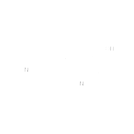 N#CCc1ccc(O)cn1